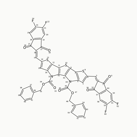 O=C1C(=Cc2cc3c(s2)c2sc4c5sc(C=C6C(=O)c7cc(F)c(F)cc7C6=O)cc5n(C(=O)OCc5ccccc5)c4c2n3C(=O)OCc2ccccc2)C(=O)c2cc(F)c(F)cc21